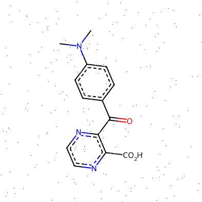 CN(C)c1ccc(C(=O)c2nccnc2C(=O)O)cc1